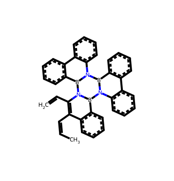 C=CC1=C(/C=C\C)c2ccccc2B2N1B1c3ccccc3-c3ccccc3N1B1c3ccccc3-c3ccccc3N21